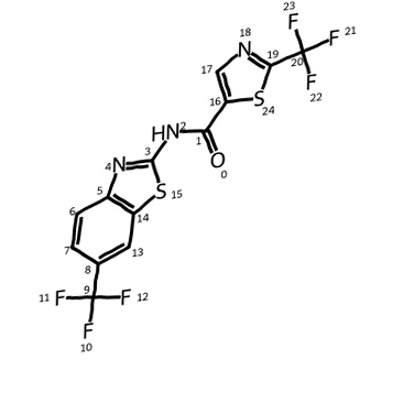 O=C(Nc1nc2ccc(C(F)(F)F)cc2s1)c1cnc(C(F)(F)F)s1